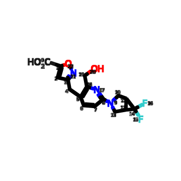 O=C(O)c1cc(Cc2ccc(N3CC4C(C3)C4(F)F)nc2CO)no1